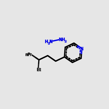 CCCC(CC)CCc1ccncc1.NN